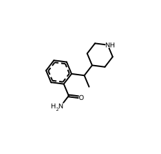 CC(c1ccccc1C(N)=O)C1CCNCC1